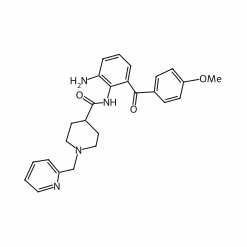 COc1ccc(C(=O)c2cccc(N)c2NC(=O)C2CCN(Cc3ccccn3)CC2)cc1